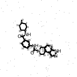 CC1CCC(NC(=O)c2cccc(NC(=O)N3CCc4c(cnc5[nH]ncc45)C3)c2)CC1